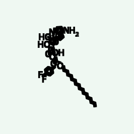 CCCCCCCCCCCCCCCCCCOC[C@H](COP(=O)(O)OC[C@H]1O[C@@](C#N)(c2ccc3c(N)ccnn23)[C@H](O)[C@@H]1O)OCc1ccc(C(F)F)cc1